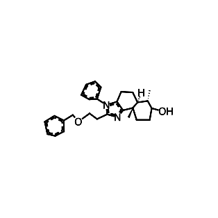 C[C@@H]1C(O)CC[C@]2(C)c3nc(CCOCc4ccccc4)n(-c4ccccc4)c3CC[C@@H]12